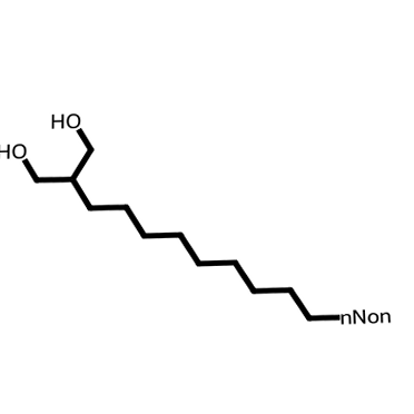 CCCCCCCCCCCCCCCCCCC(CO)CO